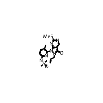 C=CCn1c(=O)c2cnc(SC)nc2n1-c1nc(N=S(C)(C)=O)ccc1C